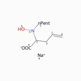 C=CCC(C(=O)[O-])N(O)CCCCC.[Na+]